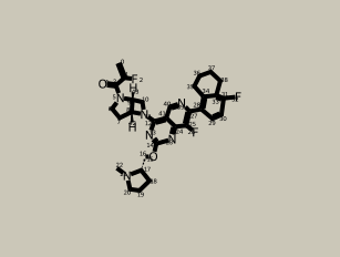 C=C(F)C(=O)N1CC[C@@H]2[C@H]1CN2c1nc(OC[C@@H]2CCCN2C)nc2c(F)c(-c3ccc(F)c4c3CCCC4)ncc12